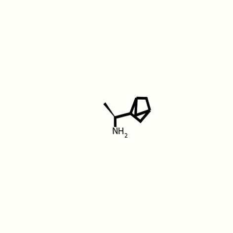 C[C@H](N)C1CC2CC1C2